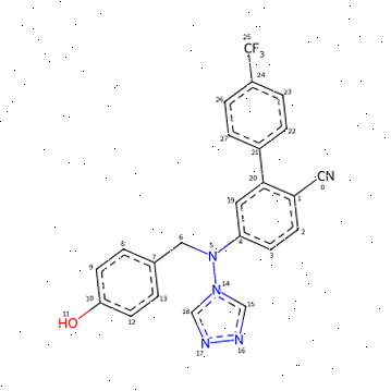 N#Cc1ccc(N(Cc2ccc(O)cc2)n2cnnc2)cc1-c1ccc(C(F)(F)F)cc1